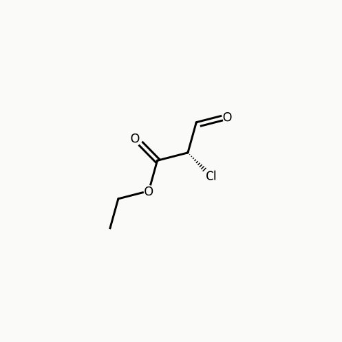 CCOC(=O)[C@@H](Cl)C=O